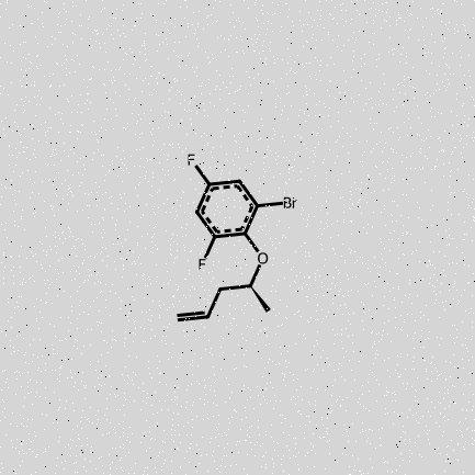 C=CC[C@H](C)Oc1c(F)cc(F)cc1Br